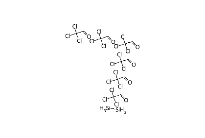 O=CC(Cl)(Cl)Cl.O=CC(Cl)(Cl)Cl.O=CC(Cl)(Cl)Cl.O=CC(Cl)(Cl)Cl.O=CC(Cl)(Cl)Cl.O=CC(Cl)(Cl)Cl.[SiH3][SiH3]